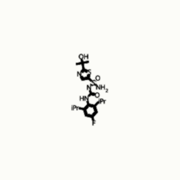 CC(C)c1cc(F)cc(C(C)C)c1NC(=O)N=S(N)(=O)c1cnc(C(C)(C)O)s1